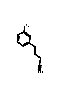 C#CCCCc1cccc(C(F)(F)F)c1